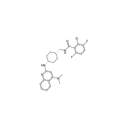 CN(C)c1cc(N[C@H]2CC[C@@H](CNC(=O)c3c(F)ccc(F)c3Cl)CC2)nc2ccccc12